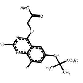 CCOC(=O)C(C)(C)Nc1cc(F)c2nc(CC)nc(OCC(=O)OC)c2c1